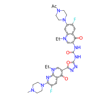 CCn1cc(NC(=O)Nc2nnc(-c3cn(CC)c4nc(N5CCN(C)CC5)c(F)cc4c3=O)o2)c(=O)c2cc(F)c(N3CCN(C(C)=O)CC3)cc21